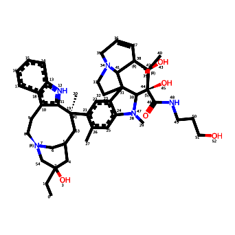 CCC1(O)CC2C[N@](CCc3c([nH]c4ccccc34)[C@@](C)(c3cc4c(cc3C)N(C)C3C45CCN4CC=C[C@](CC)(C45)[C@@H](O)[C@]3(O)C(=O)NCCCO)C2)C1